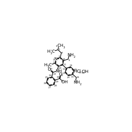 Cc1nc(CC(C)C)c(CN)c(-c2ccc(CN)cc2)c1NC(=O)c1ccccc1C(=O)O.Cl.Cl